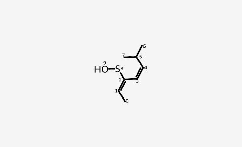 C/C=C(\C=C/C(C)C)SO